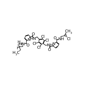 CC[C@](C)(I)CNC(=O)c1cccc(C(=O)NCc2c(Cl)c(Cl)c(CNC(=O)c3cccc(C(=O)NCC4[C@@H](C)[C@H]4Cl)n3)c(Cl)c2Cl)n1